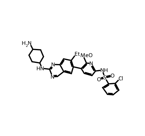 CCc1cc2nc(NC3CCC(N)CC3)ncc2cc1-c1ccc(NS(=O)(=O)c2ccccc2Cl)nc1OC